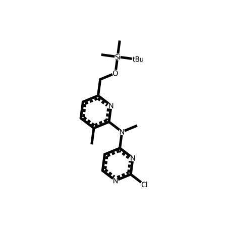 Cc1ccc(CO[Si](C)(C)C(C)(C)C)nc1N(C)c1ccnc(Cl)n1